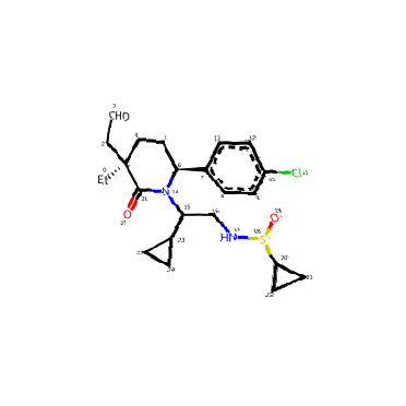 CC[C@]1(CC=O)CC[C@@H](c2ccc(Cl)cc2)N(C(CN[S+]([O-])C2CC2)C2CC2)C1=O